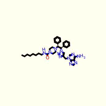 CCCCCCCCNC(=O)N1CCN([C@@H](c2ccccc2)[C@@H](c2ccccc2)n2cc(Cn3cnc(N)c4ncnc3-4)nn2)CC1